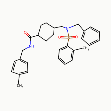 Cc1ccc(CNC(=O)C2CCC(CN(Cc3ccccc3)S(=O)(=O)c3ccccc3C)CC2)cc1